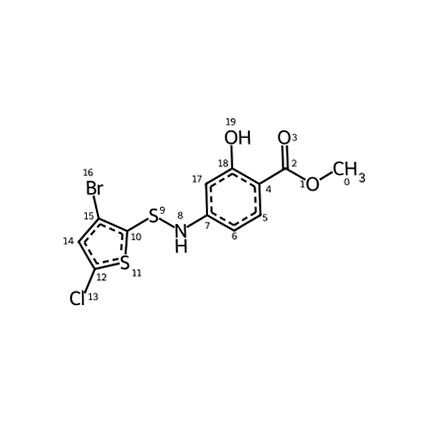 COC(=O)c1ccc(NSc2sc(Cl)cc2Br)cc1O